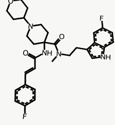 CN(CCc1c[nH]c2ccc(F)cc12)C(=O)C1(NC(=O)C=Cc2ccc(F)cc2)CCN(C2CCOCC2)CC1